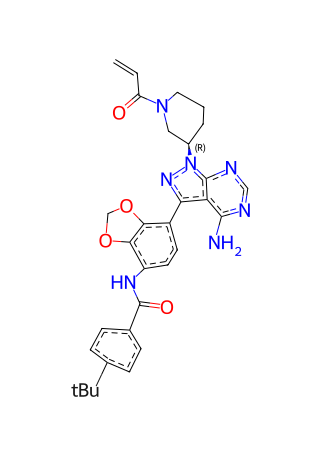 C=CC(=O)N1CCC[C@@H](n2nc(-c3ccc(NC(=O)c4ccc(C(C)(C)C)cc4)c4c3OCO4)c3c(N)ncnc32)C1